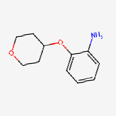 Nc1ccccc1OC1CCOCC1